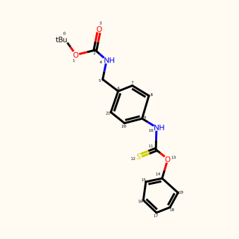 CC(C)(C)OC(=O)NCc1ccc(NC(=S)Oc2ccccc2)cc1